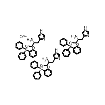 N[C@@H](Cc1c[nH]cn1)[C](=O)[Cr-][Si](c1ccccc1)(c1ccccc1)c1ccccc1.N[C@H](Cc1c[nH]cn1)[C](=O)[Cr-][Si](c1ccccc1)(c1ccccc1)c1ccccc1.N[C@H](Cc1c[nH]cn1)[C](=O)[Cr-][Si](c1ccccc1)(c1ccccc1)c1ccccc1.[Cr+3]